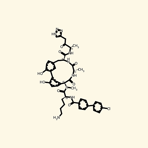 C[C@H](NC(=O)[C@@H]1Cc2ccc(O)c(c2)-c2cc(ccc2O)[C@H](N(C)C(=O)[C@H](CCCCN)NC(=O)c2ccc(-c3ccc(Cl)cc3)cc2)C(=O)N[C@@H](C)C(=O)N1)C(=O)Cc1c[nH]nn1